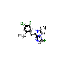 Cc1cc(Br)c(F)cc1Cc1nc(C#N)cn2c(F)cnc12